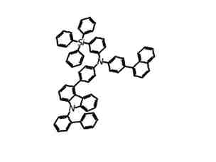 c1ccc(-c2ccccc2-n2c3ccccc3c3c(-c4ccc(N(c5ccc(-c6cccc7ccccc67)cc5)c5cccc([Si](c6ccccc6)(c6ccccc6)c6ccccc6)c5)cc4)cccc32)cc1